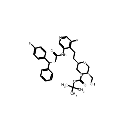 CC(C)(C)OC(=O)N1C[C@@H](CCc2c(F)cncc2NC(=O)C[C@H](c2ccccc2)c2ccc(F)cc2)OC[C@H]1CO